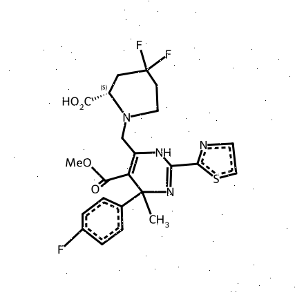 COC(=O)C1=C(CN2CCC(F)(F)C[C@H]2C(=O)O)NC(c2nccs2)=NC1(C)c1ccc(F)cc1